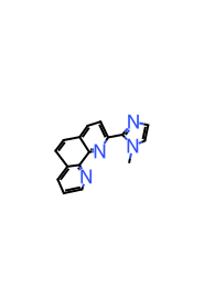 Cn1ccnc1-c1ccc2ccc3cccnc3c2n1